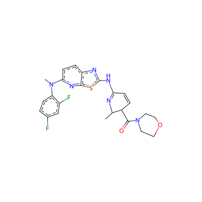 CC1N=C(Nc2nc3ccc(N(C)c4ccc(F)cc4F)nc3s2)C=CC1C(=O)N1CCOCC1